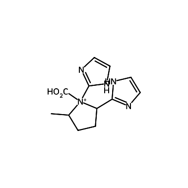 CC1CCC(c2ncc[nH]2)[N+]1(C(=O)O)c1ncc[nH]1